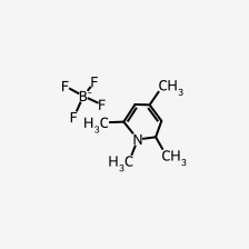 CC1=CC(C)N(C)C(C)=C1.F[B-](F)(F)F